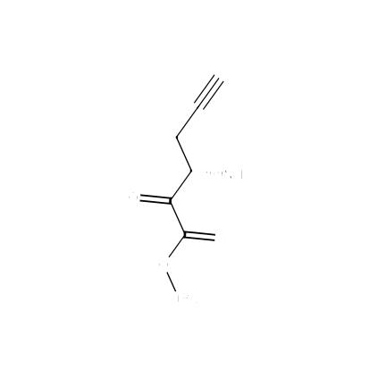 C#CC[C@H](N)C(=O)C(=O)OC(C)(C)C